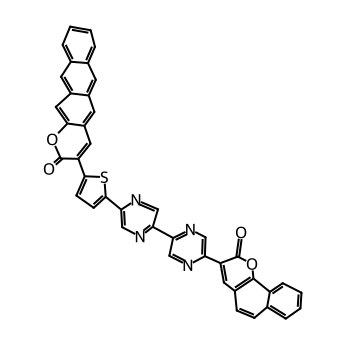 O=c1oc2c(ccc3ccccc32)cc1-c1cnc(-c2cnc(-c3ccc(-c4cc5cc6cc7ccccc7cc6cc5oc4=O)s3)cn2)cn1